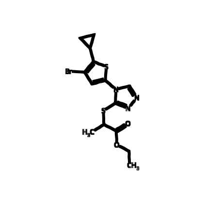 CCOC(=O)C(C)Sc1nncn1-c1cc(Br)c(C2CC2)s1